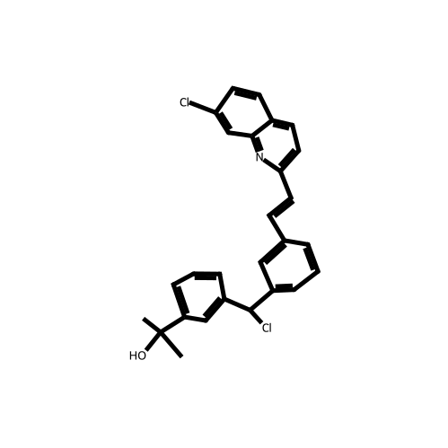 CC(C)(O)c1cccc(C(Cl)c2cccc(C=Cc3ccc4ccc(Cl)cc4n3)c2)c1